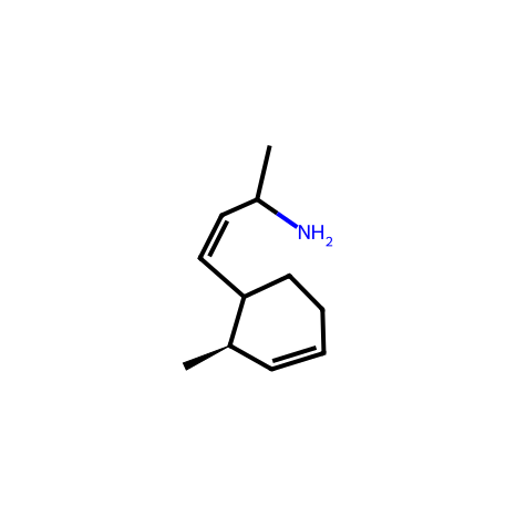 CC(N)/C=C\C1CCC=C[C@H]1C